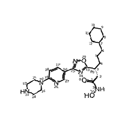 O=C(C[C@@H](CCCC1CCCCC1)c1nc(-c2ccc(N3CCNCC3)nc2)no1)NO